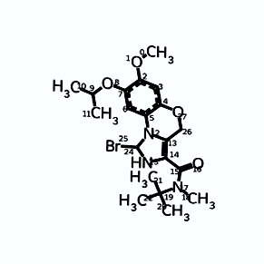 COc1cc2c(cc1OC(C)C)N1C(=C(C(=O)N(C)C(C)(C)C)NC1Br)CO2